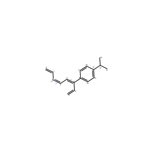 C=C/N=C\C=C(/C=C)c1ccc(C(C)C)cc1